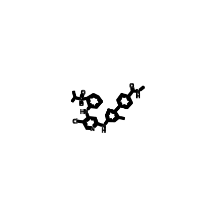 CNC(=O)c1ccc(-c2ccc(Nc3cc(Nc4ccccc4S(=O)(=O)C(C)C)c(Cl)cn3)cc2C)cc1